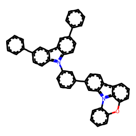 c1ccc(-c2ccc3c(c2)c2cc(-c4ccccc4)ccc2n3-c2cccc(-c3ccc4c5cccc6c5n(c4c3)-c3ccccc3O6)c2)cc1